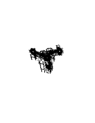 Cl.N[C@@]1(C(=O)OCc2ccccc2F)C[C@@H](Sc2nnc[nH]2)[C@H]2[C@H](C(=O)OCc3ccccc3F)[C@H]21